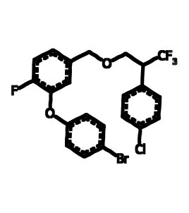 Fc1ccc(COCC(c2ccc(Cl)cc2)C(F)(F)F)cc1Oc1ccc(Br)cc1